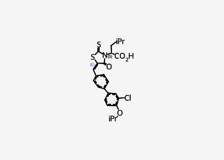 CC(C)C[C@@H](C(=O)O)N1C(=O)/C(=C\c2ccc(-c3ccc(OC(C)C)c(Cl)c3)cc2)SC1=S